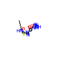 CCCCCCCC(=O)Nc1csc(-c2cncc(-c3ccc(C(=O)Nc4nnn[nH]4)c(OC)c3)n2)c1